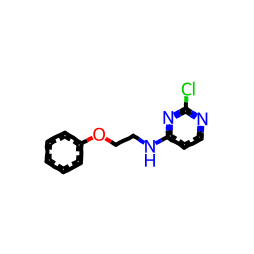 Clc1nccc(NCCOc2ccccc2)n1